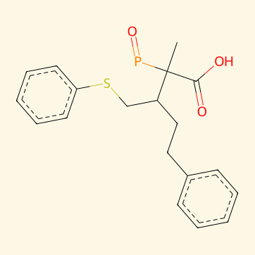 CC(P=O)(C(=O)O)C(CCc1ccccc1)CSc1ccccc1